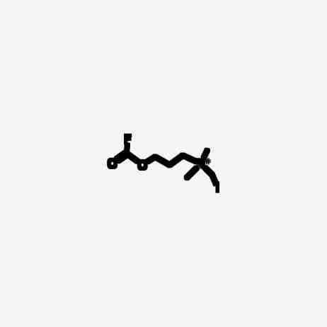 C[N+](C)(CI)CCCOC(=O)F